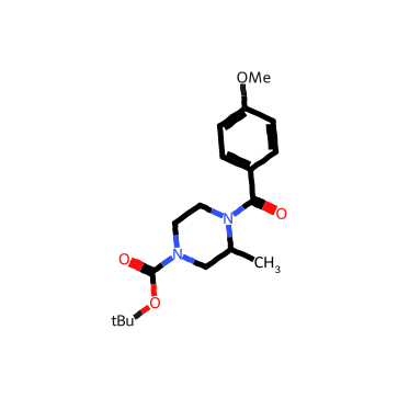 COc1ccc(C(=O)N2CCN(C(=O)OC(C)(C)C)CC2C)cc1